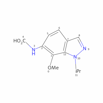 COc1c(NC(=O)O)ccc2cnn(C(C)C)c12